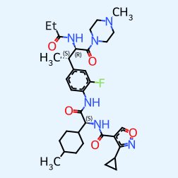 CCC(=O)N[C@@H](C(=O)N1CCN(C)CC1)[C@@H](C)c1ccc(NC(=O)[C@@H](NC(=O)c2conc2C2CC2)C2CCC(C)CC2)c(F)c1